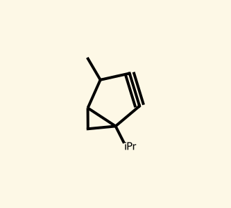 CC1C#CC2(C(C)C)CC12